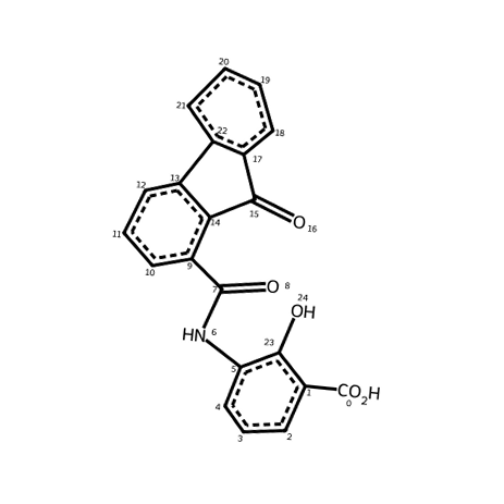 O=C(O)c1cccc(NC(=O)c2cccc3c2C(=O)c2ccccc2-3)c1O